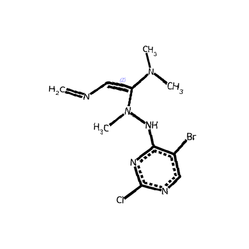 C=N/C=C(/N(C)C)N(C)Nc1nc(Cl)ncc1Br